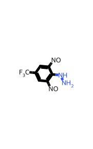 NNc1c(N=O)cc(C(F)(F)F)cc1N=O